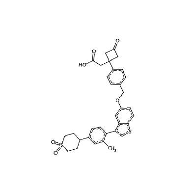 Cc1cc(C2CCS(=O)(=O)CC2)ccc1-c1csc2ccc(OCc3ccc(C4(CC(=O)O)CC(=O)C4)cc3)cc12